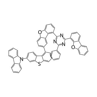 c1ccc(-c2nc(-c3cccc4c3oc3ccccc34)nc(-c3cccc4oc5ccc(-c6cccc7sc8cc(-n9c%10ccccc%10c%10ccccc%109)ccc8c67)cc5c34)n2)cc1